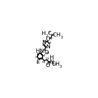 C=C(C)COc1cnc(C(=O)Nc2ccc(F)c(CCC(=O)NC)c2)cn1